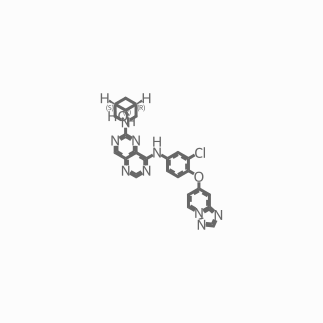 O[C@H]1[C@@H]2C[C@H]1CN(c1ncc3ncnc(Nc4ccc(Oc5ccn6ncnc6c5)c(Cl)c4)c3n1)C2